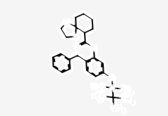 CC(C)(C)[Si](C)(C)Oc1ccc(Cc2ccccc2)c(OC(=O)C2CCCCC23OCCO3)c1